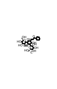 O=C(/C=C/C1C(O)=C(C2O[C@H](CO)[C@@H](O)[C@H](O)[C@H]2O)C(O)=C(C2O[C@H](CO)[C@@H](O)[C@H](O)[C@H]2O)C1O)c1ccccc1.[C]